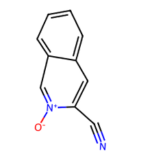 N#Cc1cc2ccccc2c[n+]1[O-]